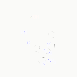 CC(O)=[SH]CCCNC1CCN(Cc2ccc(-n3c(-c4cccnc4N)nc4ccc(-c5ccccc5)nc43)cc2)CC1